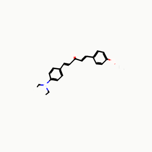 CCN(CC)c1ccc(/C=C/C(=O)/C=C/c2ccc(OC)cc2)cc1